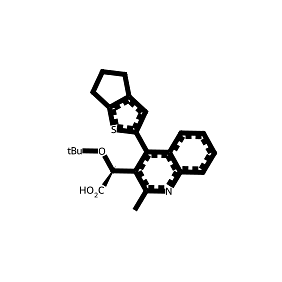 Cc1nc2ccccc2c(-c2cc3c(s2)CCC3)c1[C@H](OC(C)(C)C)C(=O)O